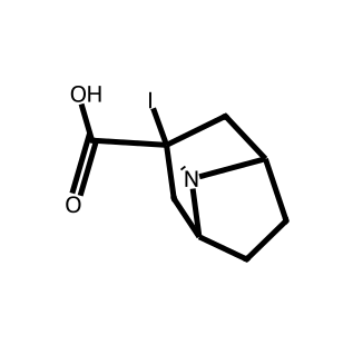 CN1C2CCC1CC(I)(C(=O)O)C2